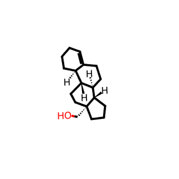 OC[C@@]12CCC[C@H]1[C@@H]1CCC3=CCCC[C@@H]3[C@H]1CC2